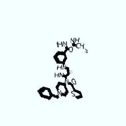 CC(=N)OC(=N)c1cccc(N/C=C\C(=N)N(C(=O)c2cccs2)C2CCN(Cc3ccccc3)CC2)c1